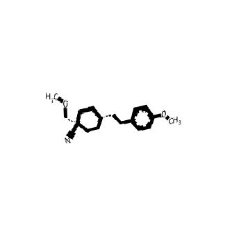 COC[C@]1(C#N)CC[C@H](CCc2ccc(OC)cc2)CC1